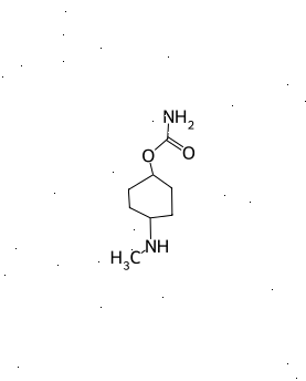 CNC1CCC(OC(N)=O)CC1